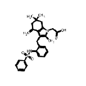 C=C1CC(C)(C)Cc2c1c(Cc1ccccc1NS(=O)(=O)c1ccccc1)c(C)n2CC(=O)O